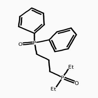 CCP(=O)(CC)CCCP(=O)(c1ccccc1)c1ccccc1